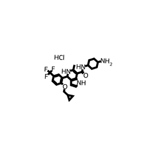 CC1=C(C(=O)NC2CCC(N)CC2)c2[nH]ccc2C(c2cc(C(F)(F)F)ccc2OCC2CC2)N1.Cl